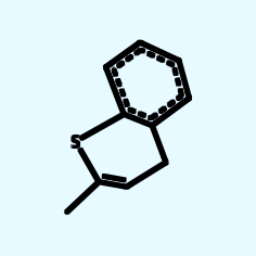 CC1=CCc2ccccc2S1